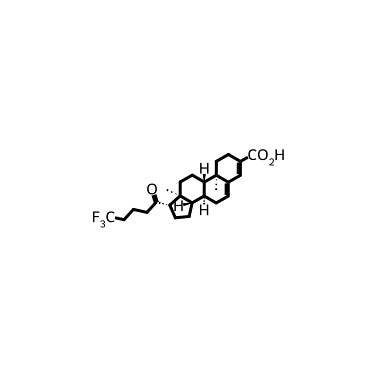 C[C@]12CC[C@H]3[C@@H](CC=C4C=C(C(=O)O)CC[C@@]43C)[C@@H]1CC[C@@H]2C(=O)CCCC(F)(F)F